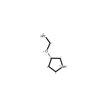 CCCCO[C@H]1CCNC1